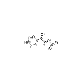 CCC(=O)ONC(=O)C1CCPOO1